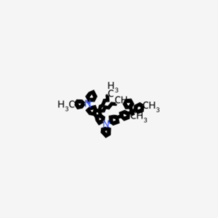 CCCCCCC1(CCCCCC)c2cc(N(c3ccccc3)c3ccc(C)cc3)ccc2-c2ccc(N(c3ccccc3)c3ccc(-c4ccc(C(C)(c5ccccc5)c5ccc(C)cc5)cc4)cc3)cc21